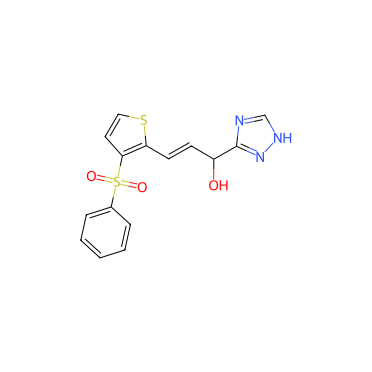 O=S(=O)(c1ccccc1)c1ccsc1C=CC(O)c1nc[nH]n1